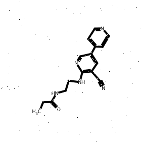 CCC(=O)NCCNc1ncc(-c2ccncc2)cc1C#N